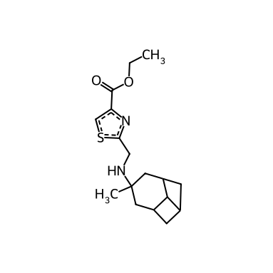 CCOC(=O)c1csc(CNC2(C)CC3CC4CC(C2)C43)n1